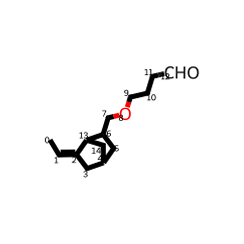 CC=C1CC2CC(COCCCC=O)C1C2